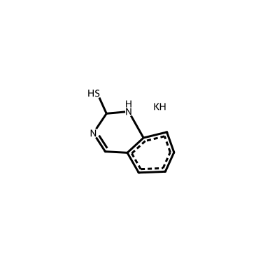 SC1N=Cc2ccccc2N1.[KH]